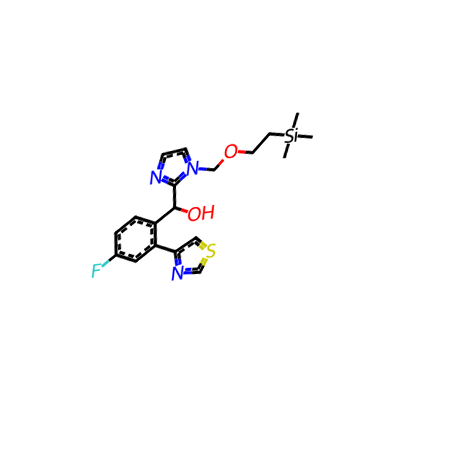 C[Si](C)(C)CCOCn1ccnc1C(O)c1ccc(F)cc1-c1cscn1